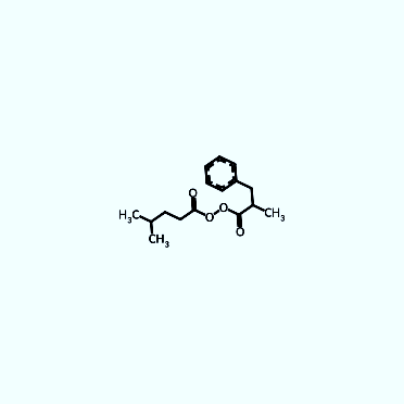 CC(C)CCC(=O)OOC(=O)C(C)Cc1ccccc1